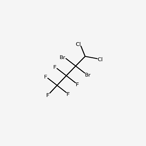 FC(F)(F)C(F)(F)C(Br)(Br)C(Cl)Cl